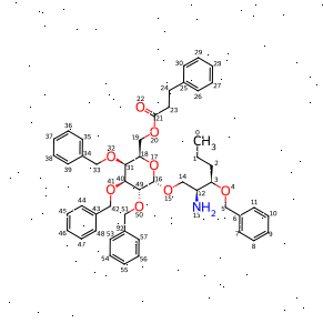 CCC[C@@H](OCc1ccccc1)[C@@H](N)CO[C@H]1O[C@H](COC(=O)CCc2ccccc2)[C@H](OCc2ccccc2)[C@H](OCc2ccccc2)[C@H]1OCc1ccccc1